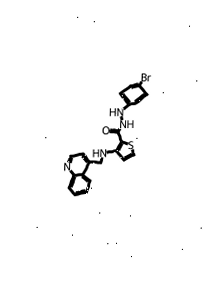 O=C(NNc1ccc(Br)cc1)c1sccc1NCc1ccnc2ccccc12